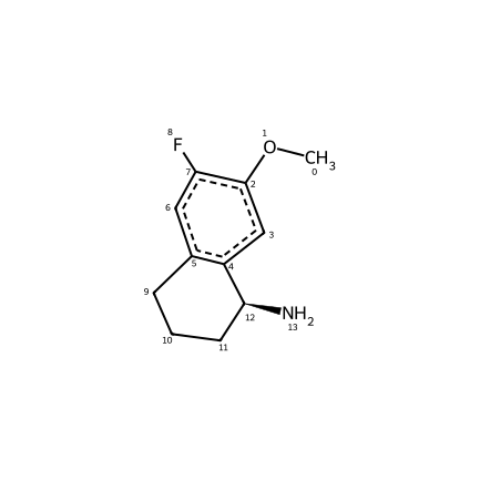 COc1cc2c(cc1F)CCC[C@@H]2N